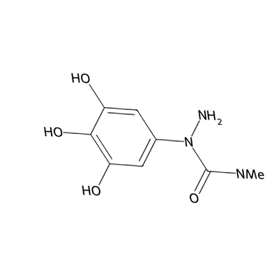 CNC(=O)N(N)c1cc(O)c(O)c(O)c1